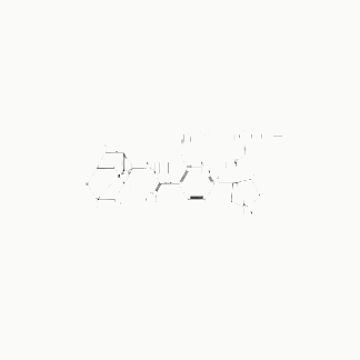 CCCSc1nc([C@@]2(OCC(=O)O)CCNC2)ccc1C(=O)NC1C2CC3CC(C2)CC1C3